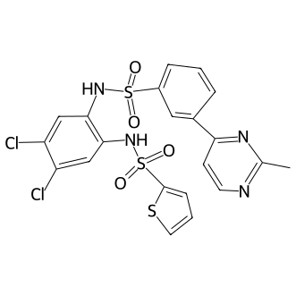 Cc1nccc(-c2cccc(S(=O)(=O)Nc3cc(Cl)c(Cl)cc3NS(=O)(=O)c3cccs3)c2)n1